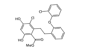 COC(=O)c1c(O)cc(O)c(Cl)c1CCc1ccccc1Oc1ccccc1Cl